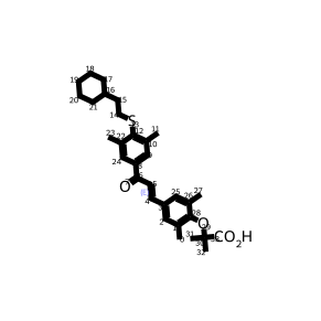 Cc1cc(/C=C/C(=O)c2cc(C)c(SCCC3CCCCC3)c(C)c2)cc(C)c1OC(C)(C)C(=O)O